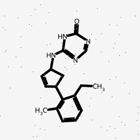 CCc1cccc(C)c1C1C=CC(Nc2ncnc(=O)[nH]2)C1